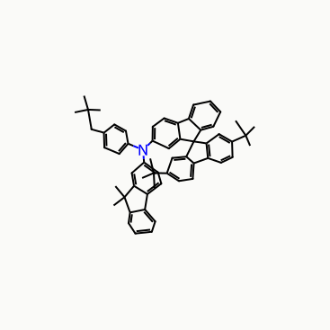 CC(C)(C)Cc1ccc(N(c2ccc3c(c2)C(C)(C)c2ccccc2-3)c2ccc3c(c2)C2(c4ccccc4-3)c3cc(C(C)(C)C)ccc3-c3ccc(C(C)(C)C)cc32)cc1